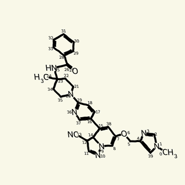 Cn1cnc(COC2=CN3N=CC(C#N)C3C(c3ccc(N4CCC(C)(NC(=O)c5ccccc5)CC4)nc3)=C2)c1